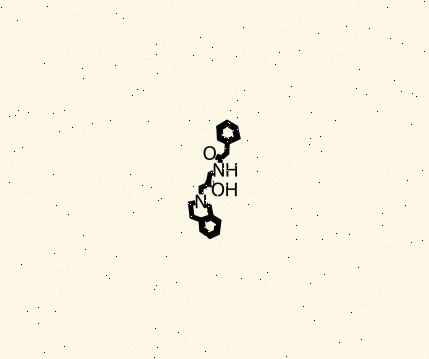 O=C(Cc1ccccc1)NC[C@@H](O)CN1CCc2ccccc2C1